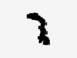 C=CCn1c(=O)c2cnc(Nc3ccc(NCCNC4CCN(C[C@@H]5Cc6ccc7c(C8CCC(=O)NC8=O)noc7c6C5)CC4)cc3)nc2n1-c1ccc2c(n1)[C@@](O)(CC)CC2